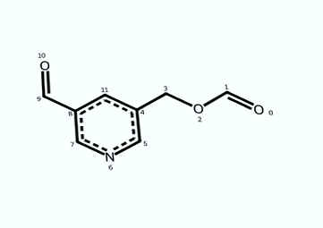 O=COCc1cncc(C=O)c1